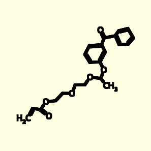 C=CC(=O)OCCOCCOC(C)Oc1cccc(C(=O)c2ccccc2)c1